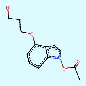 CC(=O)On1ccc2c(OCCCO)cccc21